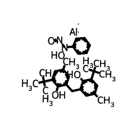 Cc1cc(Cc2cc(C)cc(C(C)(C)C)c2O)c(O)c(C(C)(C)C)c1.O=NN(O)c1ccccc1.[Al]